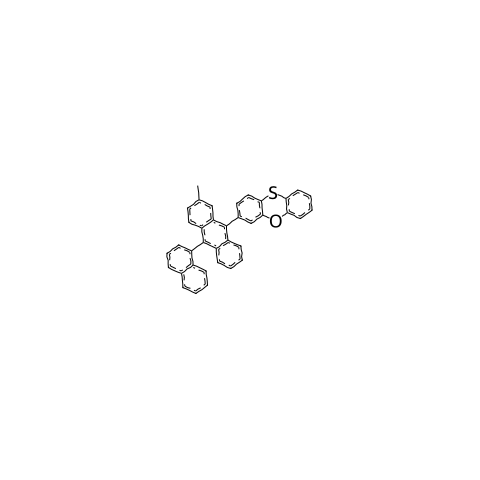 Cc1ccc2c(-c3cccc4ccccc34)c3ccccc3c(-c3ccc4c(c3)Oc3ccccc3S4)c2c1